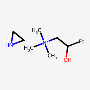 C1CN1.CCC(O)C[N+](C)(C)C